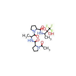 CC(=O)N1CCCC1C(=O)NC(C)C(=O)N1CCCC1C(=O)NC(C)C(O)(O)C(F)(F)F